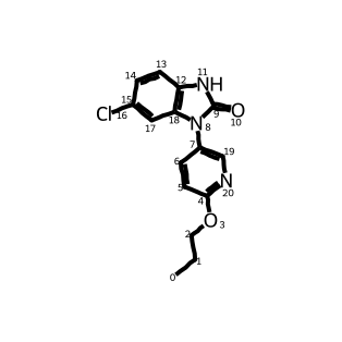 CCCOc1ccc(-n2c(=O)[nH]c3ccc(Cl)cc32)cn1